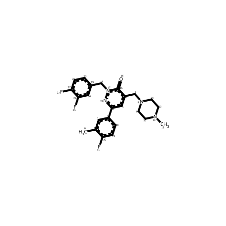 Cc1cc(-c2cc(CN3CCN(C)CC3)c(=O)n(Cc3ccc(F)c(F)c3)n2)ccc1F